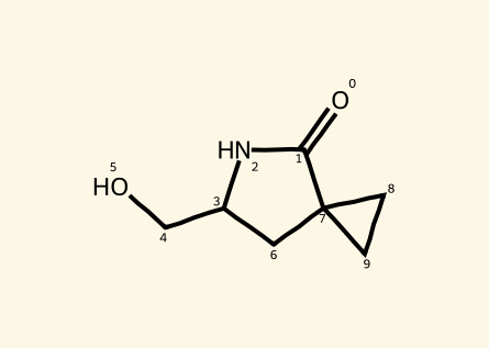 O=C1NC(CO)CC12CC2